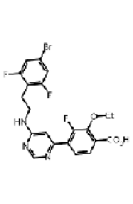 CCOc1c(C(=O)O)ccc(-c2cc(NCCc3c(F)cc(Br)cc3F)ncn2)c1F